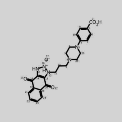 O=C(O)c1ccc(N2CCN(CCCN3C4=C(N[NH+]3[O-])C(=O)c3ccccc3C4=O)CC2)cc1